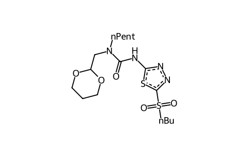 CCCCCN(CC1OCCCO1)C(=O)Nc1nnc(S(=O)(=O)CCCC)s1